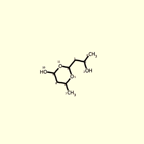 CC(O)CC1OC(C)CC(O)O1